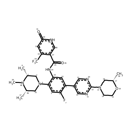 C[C@@H]1CN(c2cc(F)c(-c3cnc(N4CCO[C@@H](C)C4)nc3)cc2NC(=O)c2c[nH]c(=O)cc2C(F)(F)F)C[C@H](C)N1C